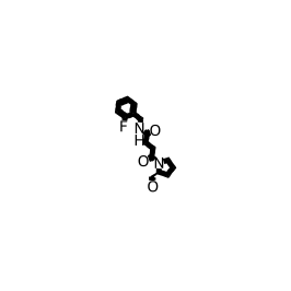 O=C[C@@H]1CCCN1C(=O)CCC(=O)NCc1ccccc1F